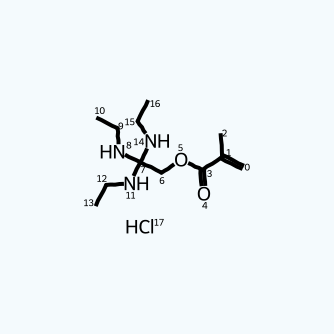 C=C(C)C(=O)OCC(NCC)(NCC)NCC.Cl